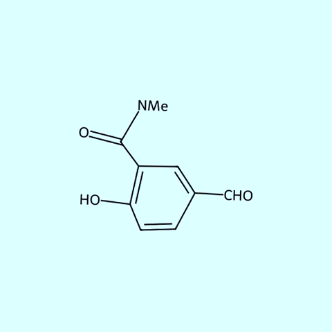 CNC(=O)c1cc(C=O)ccc1O